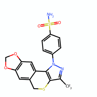 NS(=O)(=O)c1ccc(-n2nc(C(F)(F)F)c3c2-c2cc4c(cc2CS3)OCO4)cc1